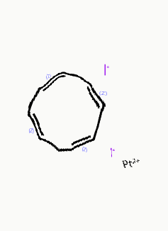 C1=C\C=C/C=C\C=C/1.[I-].[I-].[Pt+2]